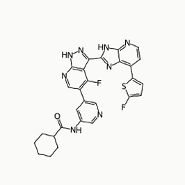 O=C(Nc1cncc(-c2cnc3[nH]nc(-c4nc5c(-c6ccc(F)s6)ccnc5[nH]4)c3c2F)c1)C1CCCCC1